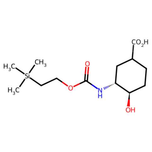 C[Si](C)(C)CCOC(=O)N[C@@H]1CC(C(=O)O)CC[C@H]1O